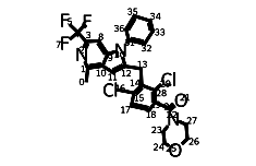 Cc1nc(C(F)(F)F)cc2c1cc(Cc1c(Cl)ccc(C(=O)N3CCOCC3)c1Cl)n2-c1ccccc1